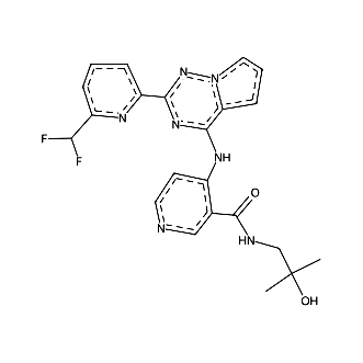 CC(C)(O)CNC(=O)c1cnccc1Nc1nc(-c2cccc(C(F)F)n2)nn2cccc12